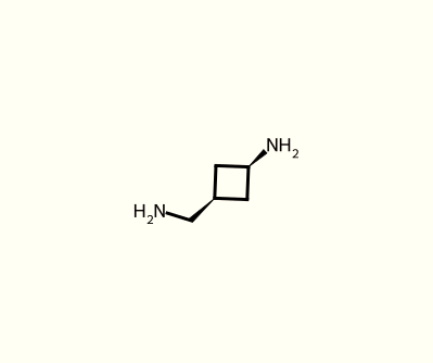 NC[C@H]1C[C@@H](N)C1